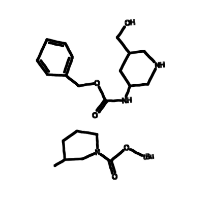 CC1CCCN(C(=O)OC(C)(C)C)C1.O=C(NC1CNCC(CO)C1)OCc1ccccc1